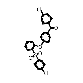 O=C(c1ccc(Cl)cc1)c1ccc(Oc2ccccc2S(=O)(=O)c2ccc(Cl)cc2)cc1